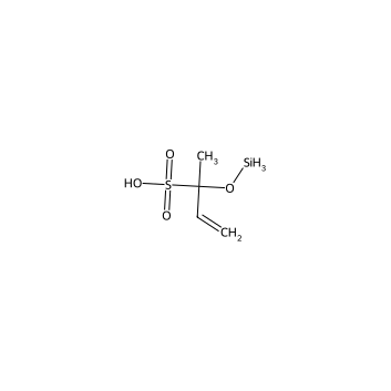 C=CC(C)(O[SiH3])S(=O)(=O)O